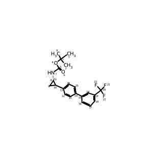 CC(C)(C)OC(=O)N[C@H]1CC1c1ccc(-c2cccc(C(F)(F)F)c2)cc1